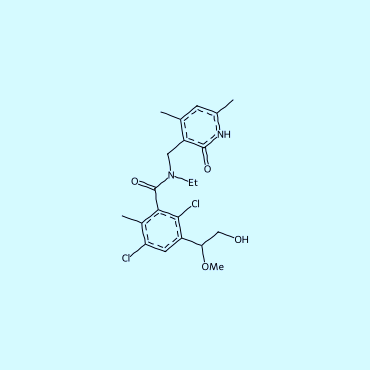 CCN(Cc1c(C)cc(C)[nH]c1=O)C(=O)c1c(C)c(Cl)cc(C(CO)OC)c1Cl